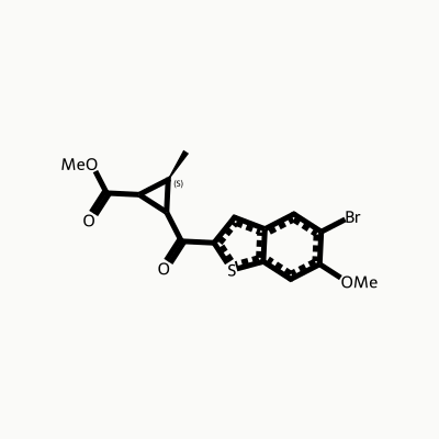 COC(=O)C1C(C(=O)c2cc3cc(Br)c(OC)cc3s2)[C@@H]1C